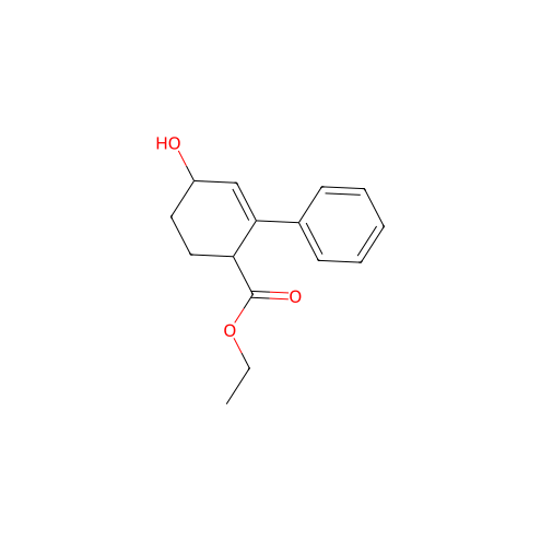 CCOC(=O)C1CCC(O)C=C1c1ccccc1